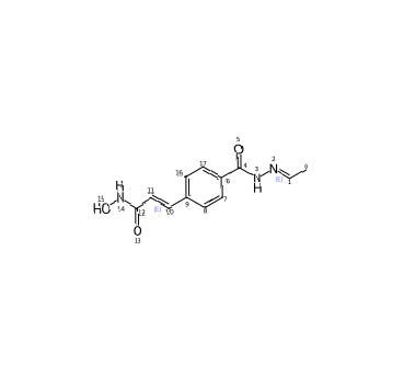 C/C=N/NC(=O)c1ccc(/C=C/C(=O)NO)cc1